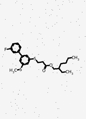 CCCCC(CC)COC(=O)CCSc1cc(SC)cc(-c2cccc(F)c2)c1